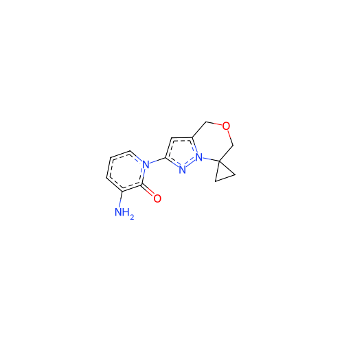 Nc1cccn(-c2cc3n(n2)C2(CC2)COC3)c1=O